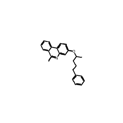 Cc1nc2cc(OC(C)CCCc3ccccc3)ccc2c2ccccc12